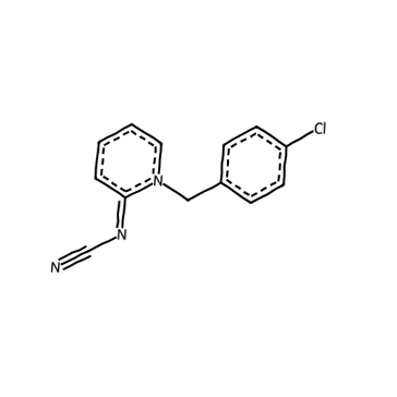 N#C/N=c1\ccccn1Cc1ccc(Cl)cc1